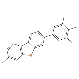 Cc1ccc2c(c1)sc1cc(-c3cc(C)c(C)c(C)c3)ccc12